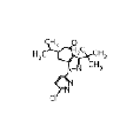 CC(C)C1CC(=O)c2c(C(C)(C)C)nn(-c3ccc(Cl)nn3)c2C1